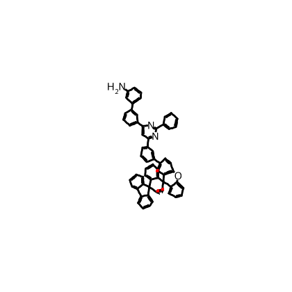 Nc1cccc(-c2cccc(-c3cc(-c4cccc(-c5ccc6c(c5)C5(c7ccccc7O6)c6ccccc6C6(c7ccccc7-c7ccccc76)c6ccccc65)c4)nc(-c4ccccc4)n3)c2)c1